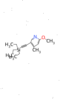 CC[Si](C#Cc1cnc(OC)cc1C)(CC)CC